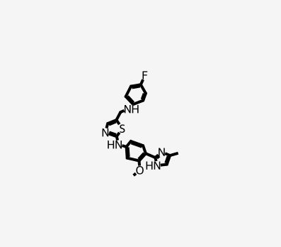 COc1cc(Nc2ncc(CNc3ccc(F)cc3)s2)ccc1-c1nc(C)c[nH]1